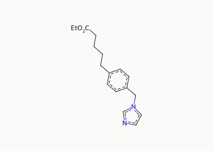 CCOC(=O)CCCCc1ccc(Cn2ccnc2)cc1